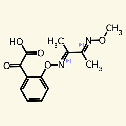 CO/N=C(C)/C(C)=N/Oc1ccccc1C(=O)C(=O)O